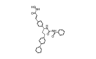 O=C(C=Cc1ccc(C(CCc2ccc(-c3ccccc3)cc2)NC(=O)NC(=O)c2ccccc2)cc1)NO